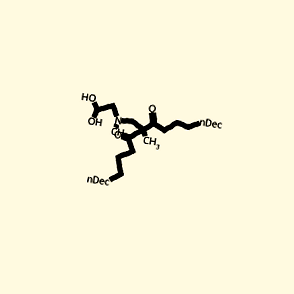 CCCCCCCCCCCCCC(=O)C(C)(CN(C)CC(O)O)C(=O)CCCCCCCCCCCCC